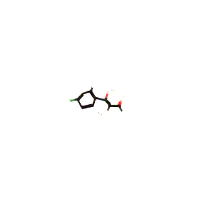 CC(C)(C)C(=O)/C(C#N)=C(\O)c1ccc(Cl)cc1[N+](=O)[O-]